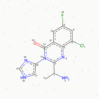 CC(N)c1nc2c(Cl)cc(F)cc2c(=O)n1-c1c[nH]cn1